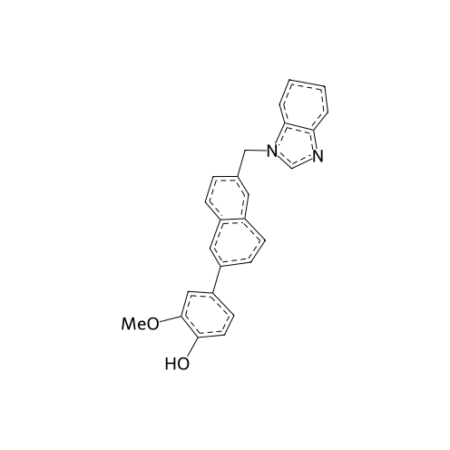 COc1cc(-c2ccc3cc(Cn4cnc5ccccc54)ccc3c2)ccc1O